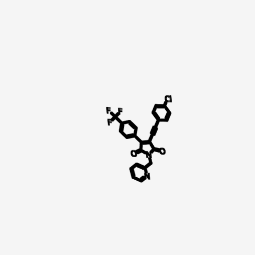 O=C1C(C#Cc2ccc(Cl)cc2)=C(c2ccc(C(F)(F)F)cc2)C(=O)N1Cc1ccccn1